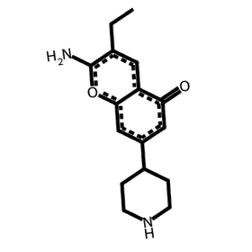 CCc1cc2c(=O)cc(C3CCNCC3)cc-2oc1N